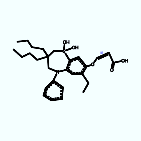 CCCCC1(CCCC)CN(c2ccccc2)c2cc(CC)c(O/C=C\C(=O)O)cc2S(O)(O)C1